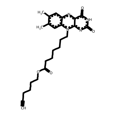 C#CCCCCOC(=O)CCCCCCn1c2nc(=O)[nH]c(=O)c-2nc2cc(C)c(C)cc21